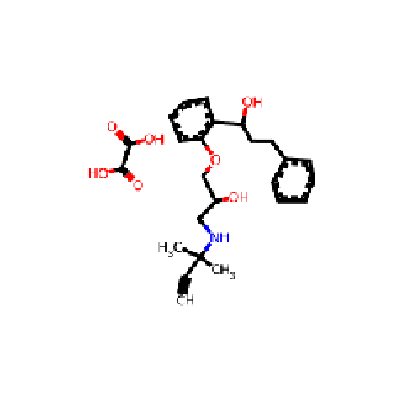 C#CC(C)(C)NCC(O)COc1ccccc1C(O)CCc1ccccc1.O=C(O)C(=O)O